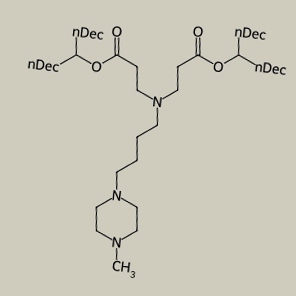 CCCCCCCCCCC(CCCCCCCCCC)OC(=O)CCN(CCCCN1CCN(C)CC1)CCC(=O)OC(CCCCCCCCCC)CCCCCCCCCC